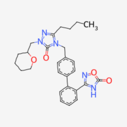 CCCCc1nn(CC2CCCCO2)c(=O)n1Cc1ccc(-c2ccccc2-c2noc(=O)[nH]2)cc1